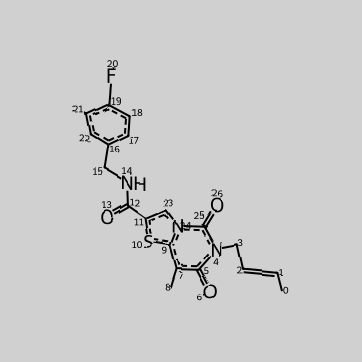 CC=CCn1c(=O)c(C)c2sc(C(=O)NCc3ccc(F)cc3)cn2c1=O